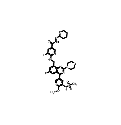 COc1ncc(-c2nc(N3CCOCC3)nc3c(CNc4ncc(C(=O)NOC5CCCCO5)cc4F)cc(F)cc23)cc1NS(C)(=O)=O